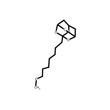 COCCCCCCCC12OC3CC(CC(C3)O1)O2